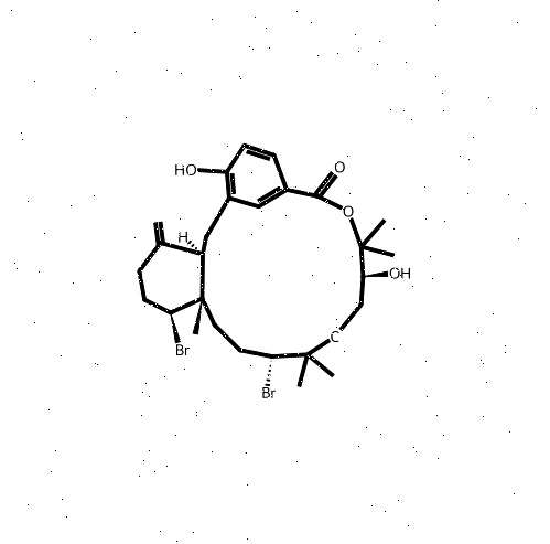 C=C1CC[C@H](Br)[C@@]2(C)CC[C@@H](Br)C(C)(C)CC[C@H](O)C(C)(C)OC(=O)c3ccc(O)c(c3)C[C@H]12